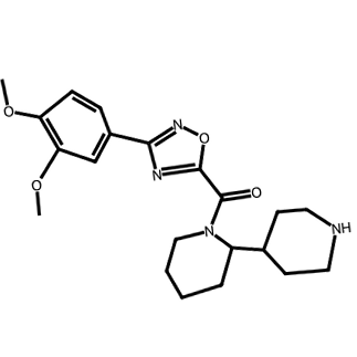 COc1ccc(-c2noc(C(=O)N3CCCCC3C3CCNCC3)n2)cc1OC